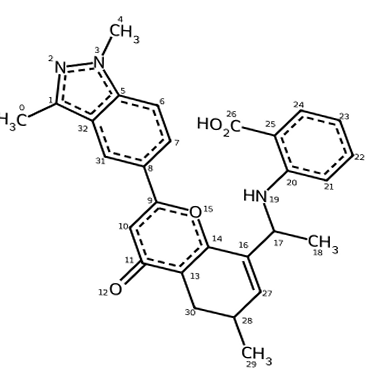 Cc1nn(C)c2ccc(-c3cc(=O)c4c(o3)C(C(C)Nc3ccccc3C(=O)O)=CC(C)C4)cc12